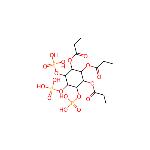 CCC(=O)OC1C(OC(=O)CC)C(OP(=O)(O)O)C(OP(=O)(O)O)C(OP(=O)(O)O)C1OC(=O)CC